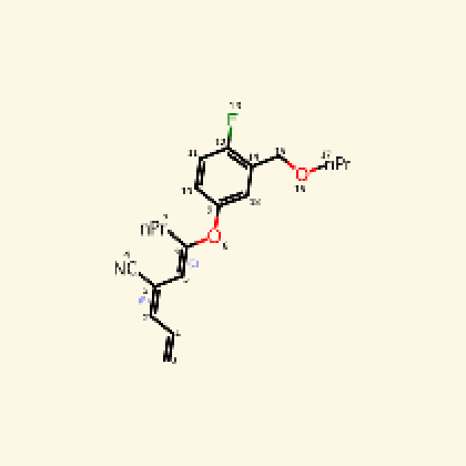 C=C/C=C(C#N)\C=C(/CCC)Oc1ccc(F)c(COCCC)c1